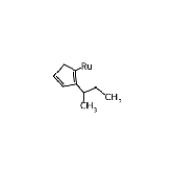 CCC(C)C1=[C]([Ru])CC=C1